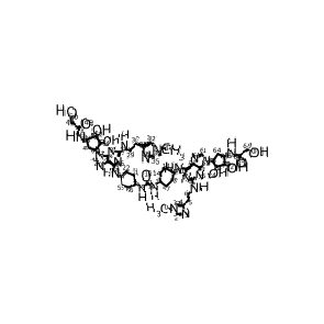 Cn1cnc(CCNc2nc(N[C@H]3CC[C@H](NC(=O)N[C@H]4CC[C@H](Nc5nc(NCCc6cn(C)cn6)nc6c5ncn6[C@@H]5C[C@H](NC(=O)CO)[C@@H](O)[C@H]5O)CC4)CC3)c3ncn([C@@H]4C[C@H](NC(=O)CO)[C@@H](O)[C@H]4O)c3n2)c1